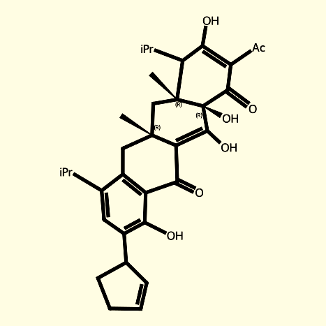 CC(=O)C1=C(O)C(C(C)C)[C@@]2(C)C[C@@]3(C)Cc4c(C(C)C)cc(C5C=CCC5)c(O)c4C(=O)C3=C(O)[C@@]2(O)C1=O